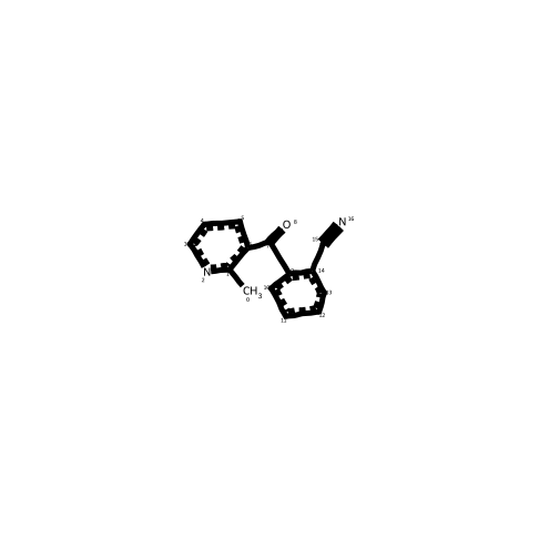 Cc1ncccc1C(=O)c1ccccc1C#N